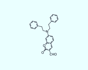 O=Cc1cc2ccc(N(CCc3ccccc3)CCc3ccccc3)cc2oc1=O